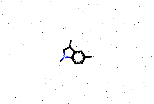 [CH2]c1ccc2c(c1)C(C)CN2C